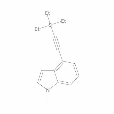 CC[Si](C#Cc1cccc2c1ccn2C)(CC)CC